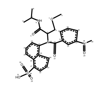 COCC(C(=O)NC(C)C)N(C(=O)c1cccc([N+](C)=O)c1)c1cccc2c(S(=O)(=O)O)cccc12